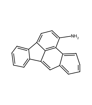 Nc1ccc2c3c(cc4ccccc4c13)-c1ccccc1-2